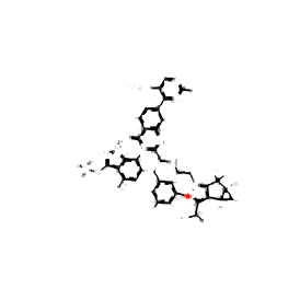 COc1cnc(C)nc1-c1ccc2c(=O)n(-c3ccc(Cl)c4c(NS(C)(=O)=O)nn(C)c34)c([C@H](Cc3cc(F)cc(F)c3)NC(=O)Cn3nc(C(F)F)c4c3C(F)(F)[C@@H]3C[C@H]43)nc2c1